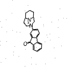 CN1C2CCCC1CN(c1ccc3c(c1)C(=O)c1ccccc1-3)CC2